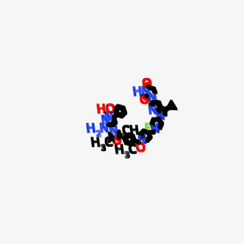 Cc1cc([C@@H]2CN(c3cc(-c4ccccc4O)nnc3N)C[C@H](C)O2)c(C)cc1C(=O)N1CCC(F)(CN2CCC(n3cc(C4CC4)c4cc(N5CCC(=O)NC5=O)cnc43)CC2)CC1